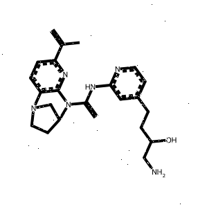 C=C(C)c1ccc2c(n1)N(C(=C)Nc1cc(CCC(O)CN)ccn1)C1CCN2C1